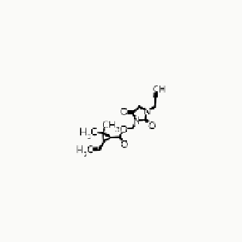 C#CCN1CC(=O)N(COC(=O)C2C(C=C)C2(C)C)C1=O